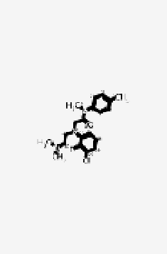 Cc1ccc(N(C)C(=O)CN(CCN(C)C)c2cccc(Cl)c2F)cc1